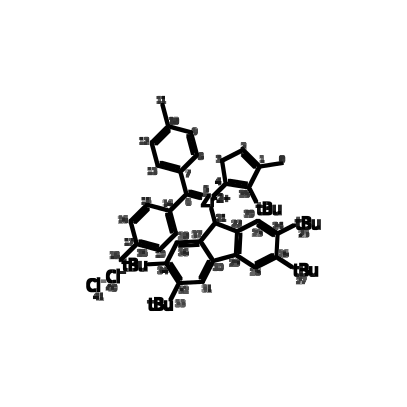 CC1=CC[C]([Zr+2](=[C](c2ccc(C)cc2)c2ccc(C)cc2)[CH]2c3cc(C(C)(C)C)c(C(C)(C)C)cc3-c3cc(C(C)(C)C)c(C(C)(C)C)cc32)=C1C(C)(C)C.[Cl-].[Cl-]